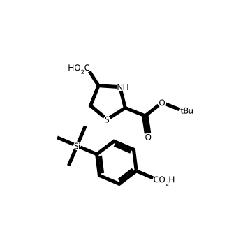 CC(C)(C)OC(=O)C1NC(C(=O)O)CS1.C[Si](C)(C)c1ccc(C(=O)O)cc1